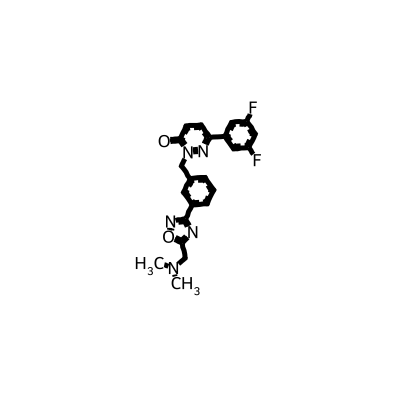 CN(C)Cc1nc(-c2cccc(Cn3nc(-c4cc(F)cc(F)c4)ccc3=O)c2)no1